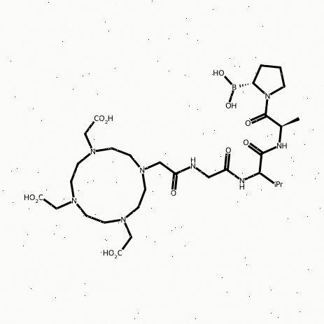 CC(C)C(NC(=O)CNC(=O)CN1CCN(CC(=O)O)CCN(CC(=O)O)CCN(CC(=O)O)CC1)C(=O)N[C@H](C)C(=O)N1CCC[C@H]1B(O)O